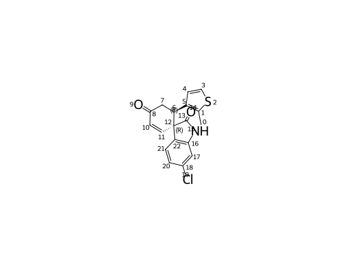 Cc1sccc1[C@@H]1CC(=O)C=C[C@@]12C(=O)Nc1cc(Cl)ccc12